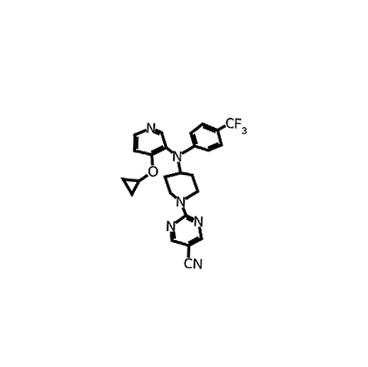 N#Cc1cnc(N2CCC(N(c3ccc(C(F)(F)F)cc3)c3cnccc3OC3CC3)CC2)nc1